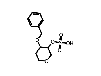 O=S(=O)(O)OC1COCC[C@H]1OCc1ccccc1